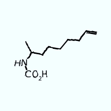 C=CCCCCCC(C)NC(=O)O